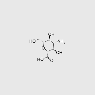 N[C@@H]1[C@@H](O)[C@H](C(=O)O)O[C@H](CO)[C@H]1O